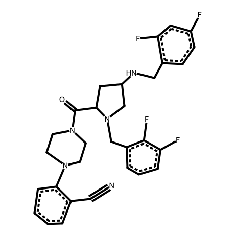 N#Cc1ccccc1N1CCN(C(=O)C2CC(NCc3ccc(F)cc3F)CN2Cc2cccc(F)c2F)CC1